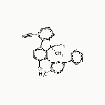 Cc1ccc2c(c1-c1cc(-c3ccccc3)cc[n+]1C)C(C)(C)c1cccc(C#N)c1-2